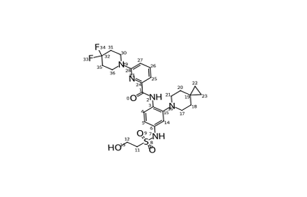 O=C(Nc1ccc(NS(=O)(=O)CCO)cc1N1CCC2(CC1)CC2)c1cccc(N2CCC(F)(F)CC2)n1